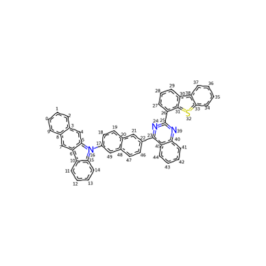 c1ccc2cc3c(cc2c1)c1ccccc1n3-c1ccc2cc(-c3nc(-c4cccc5c4sc4ccccc45)nc4ccccc34)ccc2c1